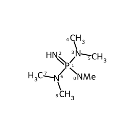 CNP(=N)(N(C)C)N(C)C